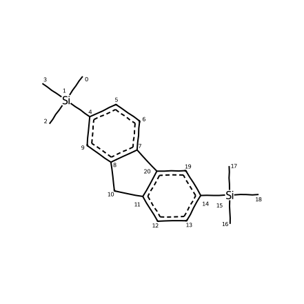 C[Si](C)(C)c1ccc2c(c1)Cc1ccc([Si](C)(C)C)cc1-2